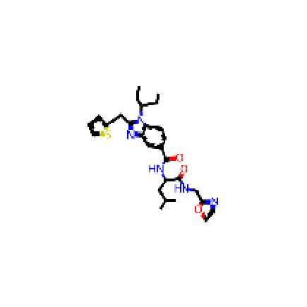 CCC(CC)n1c(Cc2cccs2)nc2cc(C(=O)NC(CC(C)C)C(=O)NCc3ncco3)ccc21